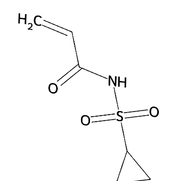 C=CC(=O)NS(=O)(=O)C1CC1